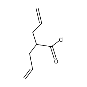 C=CCC(CC=C)C(=O)Cl